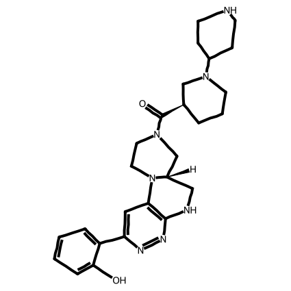 O=C([C@@H]1CCCN(C2CCNCC2)C1)N1CCN2c3cc(-c4ccccc4O)nnc3NC[C@H]2C1